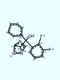 OC(c1ccccc1)(c1cccc(F)c1F)C1c2ncn1n2